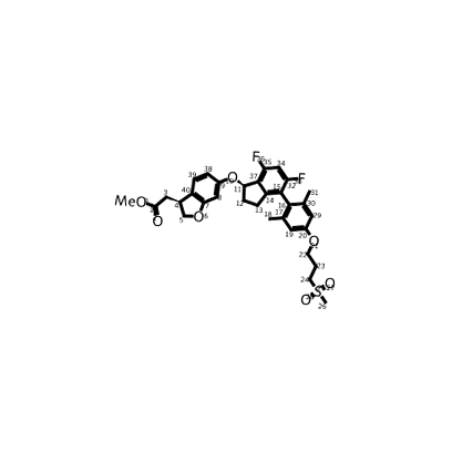 COC(=O)C[C@@H]1COc2cc(O[C@@H]3CCc4c(-c5c(C)cc(OCCCS(C)(=O)=O)cc5C)c(F)cc(F)c43)ccc21